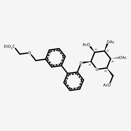 CCOC(=O)COCc1cccc(-c2ccccc2O[C@@H]2O[C@H](COC(C)=O)[C@@H](OC(C)=O)[C@H](OC(C)=O)[C@@H]2OC(C)=O)c1